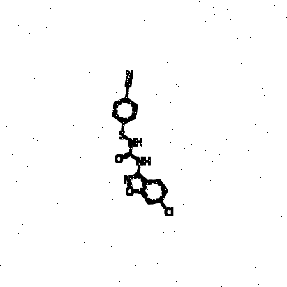 N#Cc1ccc(SNC(=O)Nc2noc3cc(Cl)ccc23)cc1